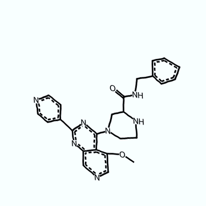 COc1cncc2nc(-c3ccncc3)nc(N3CCNC(C(=O)NCc4ccccc4)C3)c12